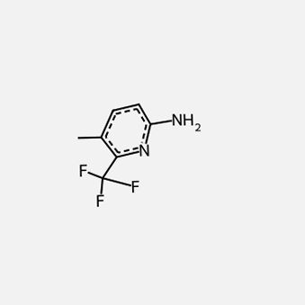 Cc1ccc(N)nc1C(F)(F)F